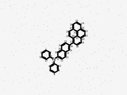 c1ccc(N(c2ccccc2)c2ccc3cc(-c4ccc5ccc6cccc7ccc4c5c67)ccc3c2)cc1